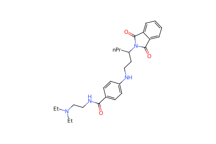 CCCC(CCNc1ccc(C(=O)NCCN(CC)CC)cc1)N1C(=O)c2ccccc2C1=O